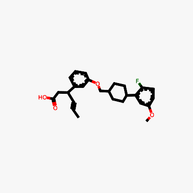 CC#CC(CC(=O)O)c1cccc(OCC2CCC(c3cc(OC)ccc3F)CC2)c1